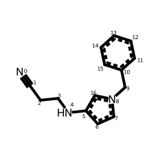 N#CCCNc1ccn(Cc2ccccc2)c1